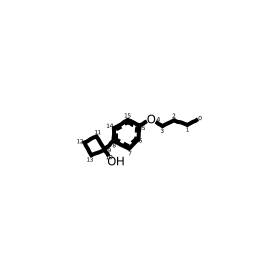 CCCCOc1ccc(C2(O)CCC2)cc1